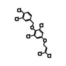 ClC(Cl)=CCOc1cc(Cl)c(OCc2ccc(Cl)c(Cl)c2)c(Cl)c1